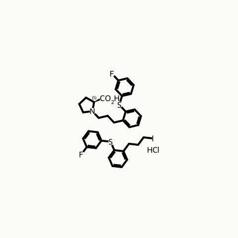 Cl.Fc1cccc(Sc2ccccc2CCCI)c1.O=C(O)[C@@H]1CCCN1CCCc1ccccc1Sc1cccc(F)c1